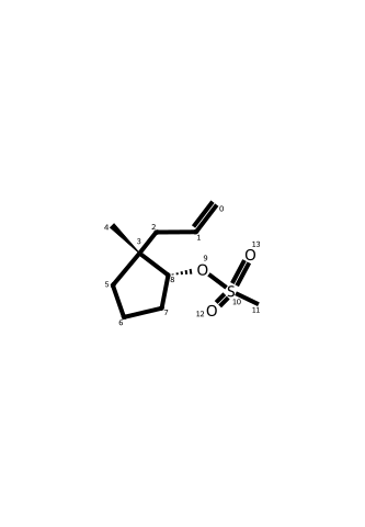 C=CC[C@@]1(C)CCC[C@H]1OS(C)(=O)=O